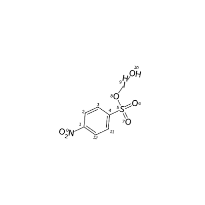 O=[N+]([O-])c1ccc(S(=O)(=O)O[IH]O)cc1